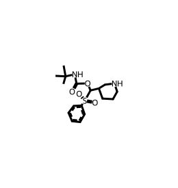 CC(C)(C)NC(=O)OC(C1CCCNC1)S(=O)(=O)c1ccccc1